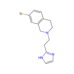 Brc1ccc2c(c1)CN(CCc1ncc[nH]1)CC2